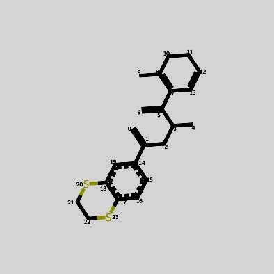 C=C(CC(C)C(=C)C1=C(C)CCC=C1)c1ccc2c(c1)SCCS2